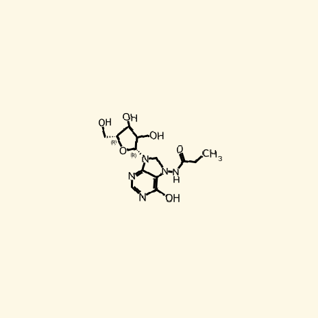 CCC(=O)NN1CN([C@@H]2O[C@H](CO)C(O)C2O)c2ncnc(O)c21